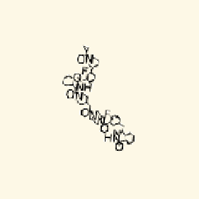 O=C(N[C@@H](C(=O)N1CCC(CC(=O)N2CCN(C(=O)c3cc(Cc4n[nH]c(=O)c5ccccc45)ccc3F)CC2)CC1)C1CCCCC1)c1cccc(C2CCCN(C(=O)C3CC3)C2)c1F